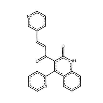 O=C(/C=C/c1cccnc1)c1c(-c2ccccn2)c2ccccc2[nH]c1=O